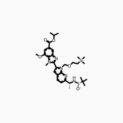 COc1cc(C(=O)OC(C)C)cc2nc(-c3cc4ccc([C@@H](C)N[S@@+]([O-])C(C)(C)C)nc4n3COCC[Si](C)(C)C)n(C)c12